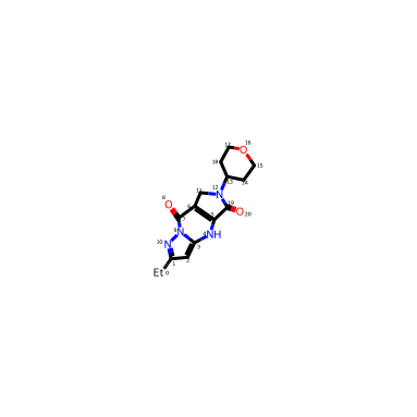 CCc1cc2[nH]c3c(c(=O)n2n1)CN(C1CCOCC1)C3=O